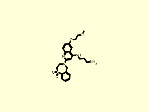 COCCOc1ccc2nc(N3CCS(=O)(=O)c4ccccc4C3)cc(NCCCN)c2c1